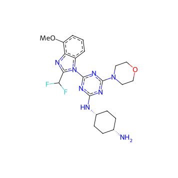 COc1cccc2c1nc(C(F)F)n2-c1nc(N[C@H]2CC[C@@H](N)CC2)nc(N2CCOCC2)n1